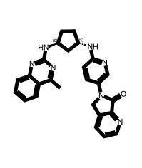 Cc1nc(N[C@H]2CC[C@H](Nc3ccc(N4Cc5cccnc5C4=O)cn3)C2)nc2ccccc12